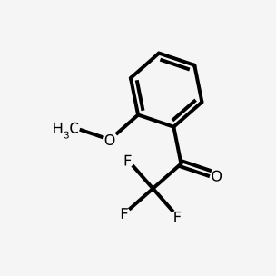 COc1ccccc1C(=O)C(F)(F)F